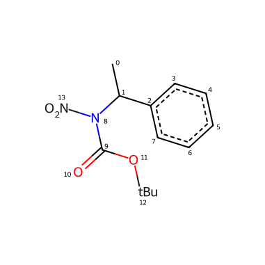 CC(c1ccccc1)N(C(=O)OC(C)(C)C)[N+](=O)[O-]